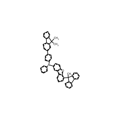 CC1(C)c2ccccc2-c2ccc(-c3ccc(N(c4ccccc4)c4ccc5oc6c(C7(C)c8ccccc8-c8ccccc87)cccc6c5c4)cc3)cc21